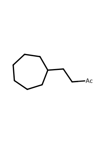 CC(=O)CCC1CCCCCC1